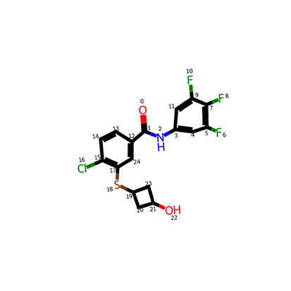 O=C(Nc1cc(F)c(F)c(F)c1)c1ccc(Cl)c(SC2CC(O)C2)c1